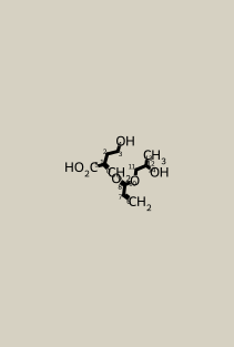 C=C(CCO)C(=O)O.C=CC(=O)OCC(C)O